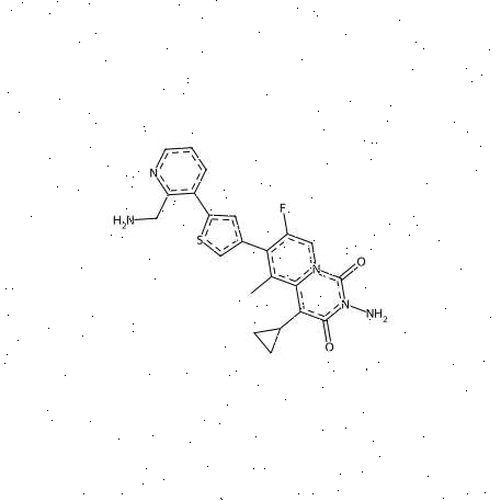 Cc1c(-c2csc(-c3cccnc3CN)c2)c(F)cn2c(=O)n(N)c(=O)c(C3CC3)c12